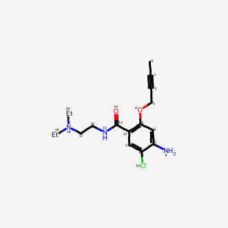 CC#CCOc1cc(N)c(Cl)cc1C(=O)NCCN(CC)CC